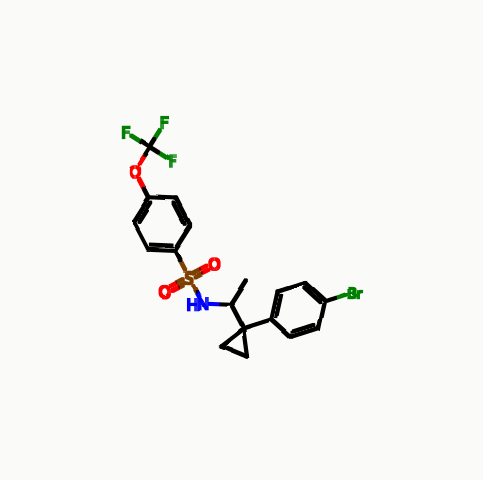 CC(NS(=O)(=O)c1ccc(OC(F)(F)F)cc1)C1(c2ccc(Br)cc2)CC1